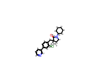 CC1(Cc2ccc(-c3cccnc3)cc2Cl)CCN(C2CCCCC2)C1=O